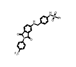 CC(C)S(=O)(=O)Nc1ccc(CNc2ccc3c(c2)C(=O)N(c2ccc(C(F)(F)F)cc2)C3=O)cc1